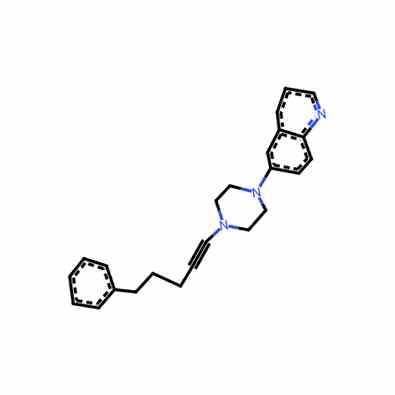 C(#CN1CCN(c2ccc3ncccc3c2)CC1)CCCc1ccccc1